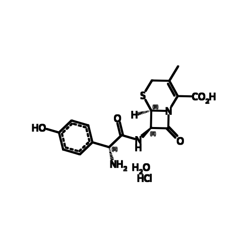 CC1=C(C(=O)O)N2C(=O)[C@@H](NC(=O)[C@H](N)c3ccc(O)cc3)[C@H]2SC1.Cl.O